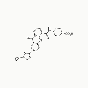 O=C(NC1CCC(C(=O)O)CC1)c1cccn2c(=O)c3cc(-c4ccc(C5CC5)s4)ccc3nc12